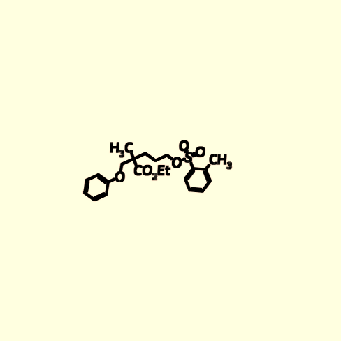 CCOC(=O)C(C)(CCCOS(=O)(=O)c1ccccc1C)COc1ccccc1